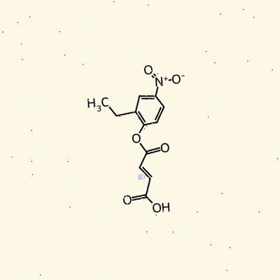 CCc1cc([N+](=O)[O-])ccc1OC(=O)/C=C/C(=O)O